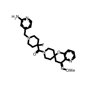 CO/N=C1/CC2(CCN(C(=O)C3(F)CCN(Cc4ccnc(N)c4)CC3)CC2)Oc2cccnc21